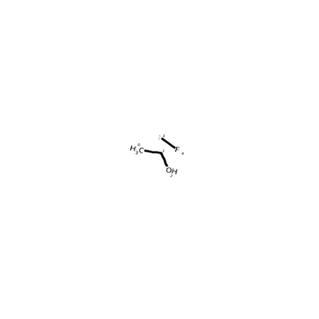 CCO.[C]F